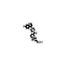 O=C(C1CCCN(S(=O)(=O)CCCO)C1)N1CCN(c2ccnc3cc(F)ccc23)CC1